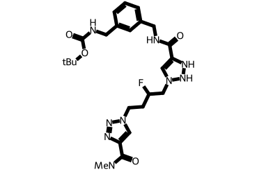 CNC(=O)c1cn(CCC(F)CN2C=C(C(=O)NCc3cccc(CNC(=O)OC(C)(C)C)c3)NN2)nn1